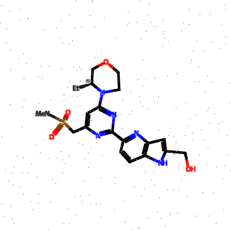 CC[C@H]1COCCN1c1cc(CS(=O)(=O)NC)nc(-c2ccc3[nH]c(CO)cc3n2)n1